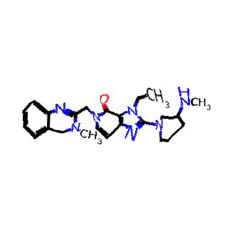 CCn1c(N2CCCC(NC)C2)nc2ccn(CC3=Nc4ccccc4CN3C)c(=O)c21